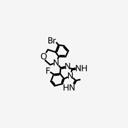 CC(=N)n1c(=N)nc(N2CCOCc3c(Br)cccc32)c2c(F)cccc21